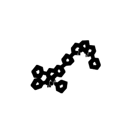 c1ccc(-c2ccc3ccc4ccc(-c5ccc(-c6ccc7c(c6)cc(-c6ccccc6)c6c(-c8ccccc8)nn(-c8ccccc8)c67)cc5)nc4c3n2)cc1